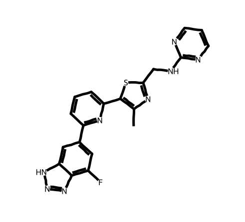 Cc1nc(CNc2ncccn2)sc1-c1cccc(-c2cc(F)c3nn[nH]c3c2)n1